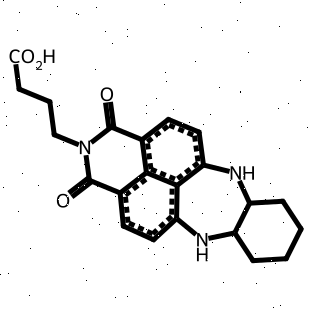 O=C(O)CCCN1C(=O)c2ccc3c4c(ccc(c24)C1=O)NC1CCCCC1N3